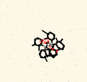 Cc1cccc([Si](c2cccc(C)c2C)(c2cccc(C)c2C)[Cr](=[O])(=[O])([OH])([OH])[Si](c2cccc(C)c2C)(c2cccc(C)c2C)c2cccc(C)c2C)c1C